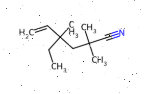 C=CC(C)(CC)CC(C)(C)C#N